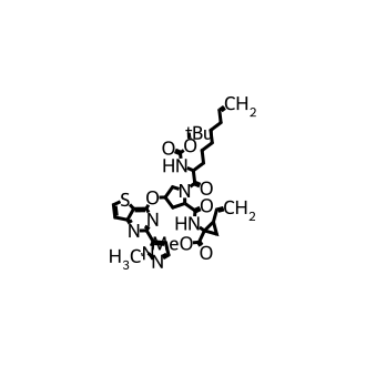 C=CCCCCCC(NC(=O)OC(C)(C)C)C(=O)N1CC(Oc2nc(-c3ccnn3C)nc3ccsc23)CC1C(=O)NC1(C(=O)OC)CC1C=C